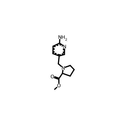 COC(=O)C1CCCN1Cc1ccc(N)nc1